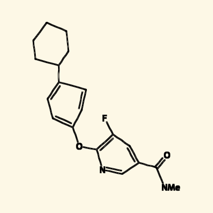 CNC(=O)c1cnc(Oc2ccc(C3CCCCC3)cc2)c(F)c1